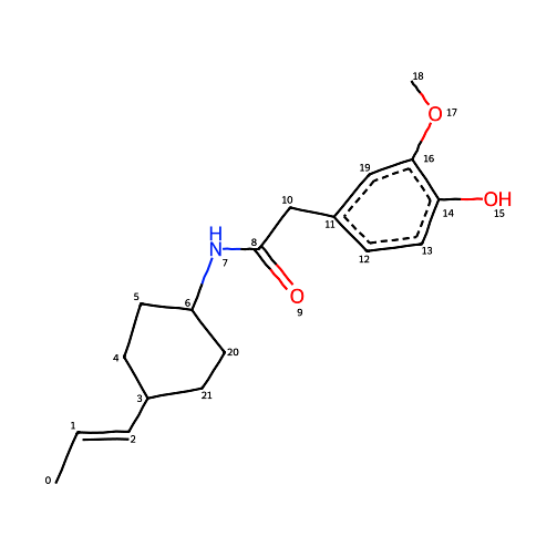 CC=CC1CCC(NC(=O)Cc2ccc(O)c(OC)c2)CC1